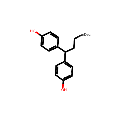 CCCCCCCCCCCCC(c1ccc(O)cc1)c1ccc(O)cc1